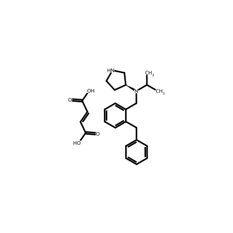 CC(C)N(Cc1ccccc1Cc1ccccc1)[C@H]1CCNC1.O=C(O)/C=C/C(=O)O